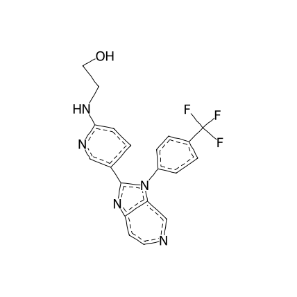 OCCNc1ccc(-c2nc3ccncc3n2-c2ccc(C(F)(F)F)cc2)cn1